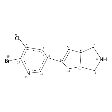 Clc1cc(C2=CC3CNCC3C2)cnc1Br